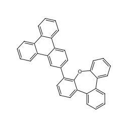 c1ccc2c(c1)Oc1c(-c3ccc4c5ccccc5c5ccccc5c4c3)cccc1-c1ccccc1-2